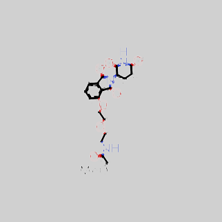 COCC(=O)NCCOCCOc1cccc2c1C(=O)N(C1CCC(=O)NC1=O)C2=O